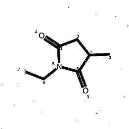 CC1CC(=O)N(CI)C1=O